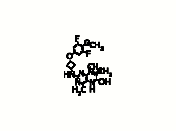 COc1c(F)cc(O[C@H]2C[C@H](Nc3nc(C)c4c(n3)N(C)[C@@H](C)C(O)N4)C2)cc1F